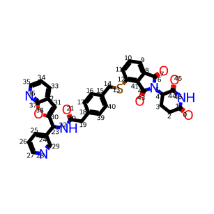 O=C1CCC(N2C(=O)c3cccc(SCc4ccc(CC(=O)NC(c5cccnc5)c5cc6cccnc6o5)cc4)c3C2=O)C(=O)N1